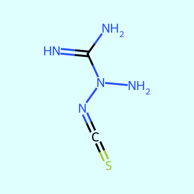 N=C(N)N(N)N=C=S